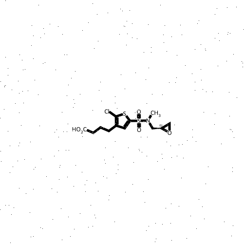 CN(C[C@H]1CO1)S(=O)(=O)c1cc(CCCC(=O)O)c(Cl)s1